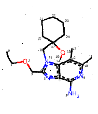 CCOCc1nc2c(N)nc(C)c(C)c2n1CC1(OC)CCCCC1